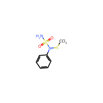 NS(=O)(=O)N(SC(Cl)(Cl)Cl)c1ccccc1